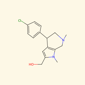 CN1Cc2c(cc(CO)n2C)C(c2ccc(Cl)cc2)C1